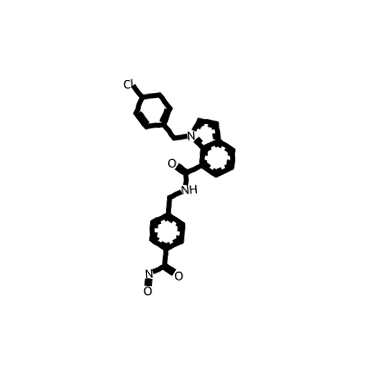 O=NC(=O)c1ccc(CNC(=O)c2cccc3ccn(CC4=CCC(Cl)C=C4)c23)cc1